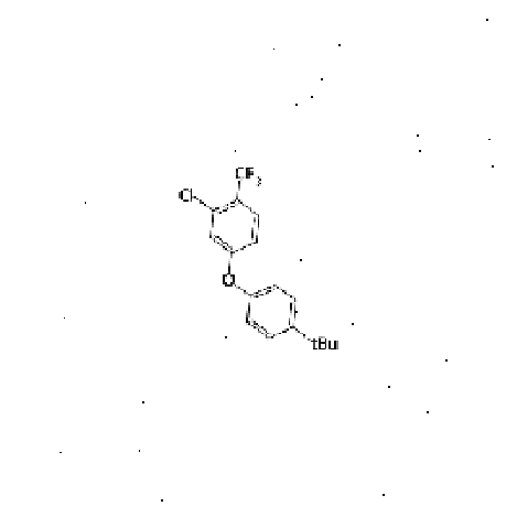 CC(C)(C)c1ccc(Oc2ccc(C(F)(F)F)c(Cl)c2)cc1